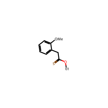 CCOC(=S)Cc1ccccc1OC